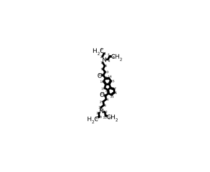 C=CCN(CC=C)CCCCC(=O)c1ccc2c(c1)Cc1c(C(=O)CCCCN(CC=C)CC=C)cccc1-2